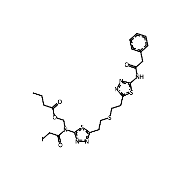 CCCC(=O)OCN(C(=O)CI)c1nnc(CCSCCc2nnc(NC(=O)Cc3ccccc3)s2)s1